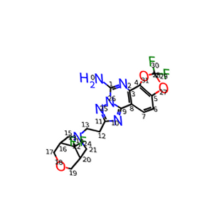 Nc1nc2c3c(ccc2c2nc(CCN4CC5COCC(C4)C5(F)F)nn12)OC(F)(F)O3